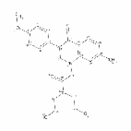 COc1ccc(-c2cn(CC(=O)N(CCO)CCO)c3cc(C)ccc3c2=O)cc1